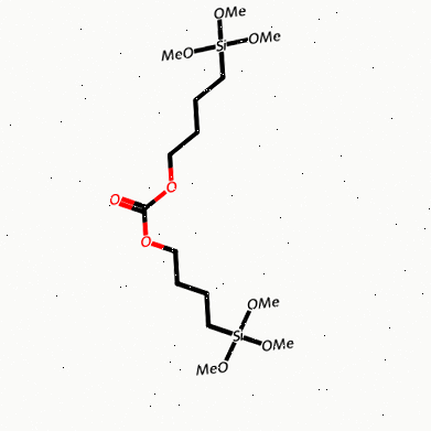 CO[Si](CCCCOC(=O)OCCCC[Si](OC)(OC)OC)(OC)OC